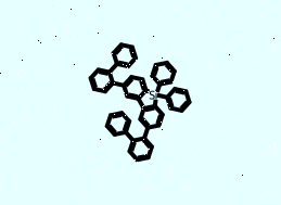 c1ccc(-c2ccccc2-c2ccc3c(c2)-c2cc(-c4ccccc4-c4ccccc4)ccc2[Si]3(c2ccccc2)c2ccccc2)cc1